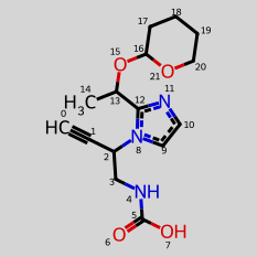 C#CC(CNC(=O)O)n1ccnc1C(C)OC1CCCCO1